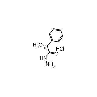 C[C@@H](C(=O)NN)c1ccccc1.Cl